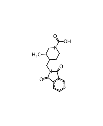 CC1CN(C(=O)O)CCC1CN1C(=O)c2ccccc2C1=O